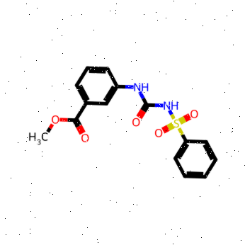 COC(=O)c1cccc(NC(=O)NS(=O)(=O)c2ccccc2)c1